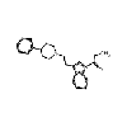 CCC(=O)n1cc(CCN2C[CH][C](c3ccccc3)CC2)c2ccccc21